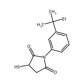 CCC(C)(C)c1cccc(N2C(=O)CC(S)C2=O)c1